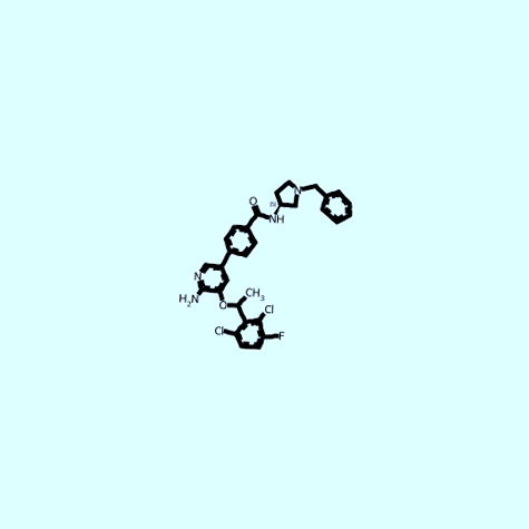 CC(Oc1cc(-c2ccc(C(=O)N[C@H]3CCN(Cc4ccccc4)C3)cc2)cnc1N)c1c(Cl)ccc(F)c1Cl